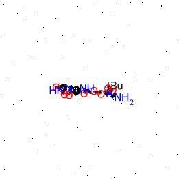 CC(C)(C)OC(=O)N(CCN)CCOCCOCCC(=O)Nc1ccc2c(c1)CN(C1CCC(=O)NC1=O)C2=O